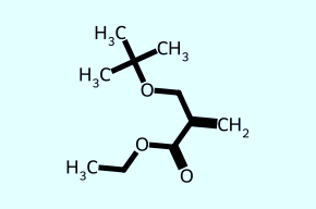 C=C(COC(C)(C)C)C(=O)OCC